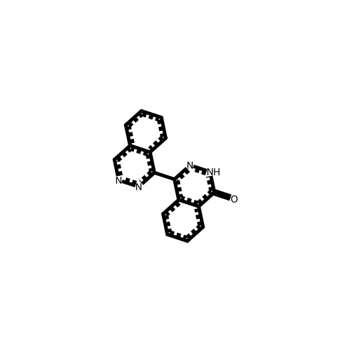 O=c1[nH]nc(-c2nncc3ccccc23)c2ccccc12